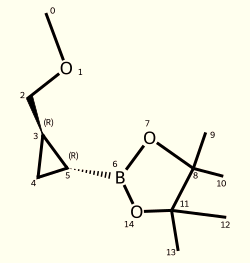 COC[C@@H]1C[C@H]1B1OC(C)(C)C(C)(C)O1